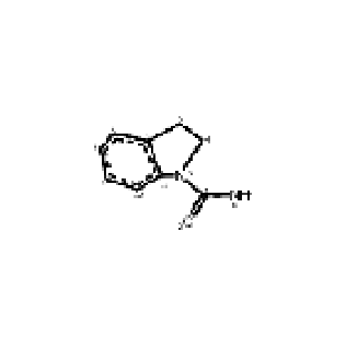 [NH]C(=O)N1CCc2ccccc21